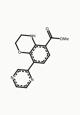 COC(=O)c1ccc(-c2cnccn2)c2c1NCCO2